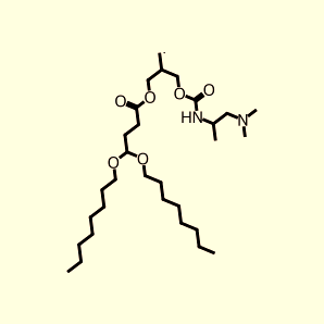 [CH2]C(COC(=O)CCC(OCCCCCCCC)OCCCCCCCC)COC(=O)NC(C)CN(C)C